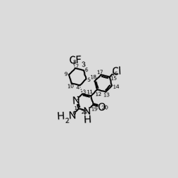 Nc1nc([C@H]2CC[C@@H](C(F)(F)F)CC2)c(-c2ccc(Cl)cc2)c(=O)[nH]1